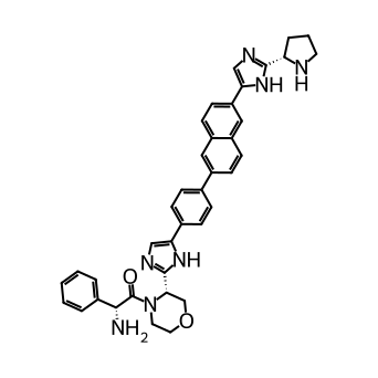 N[C@@H](C(=O)N1CCOC[C@H]1c1ncc(-c2ccc(-c3ccc4cc(-c5cnc([C@@H]6CCCN6)[nH]5)ccc4c3)cc2)[nH]1)c1ccccc1